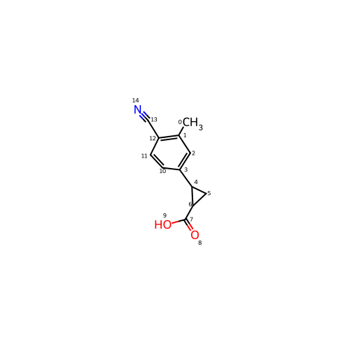 Cc1cc(C2CC2C(=O)O)ccc1C#N